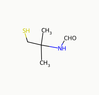 CC(C)(CS)NC=O